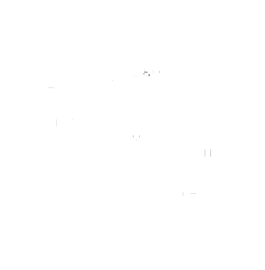 CC(C)CCOC(CCC(C)C)(CC(=O)O)C(O)=S